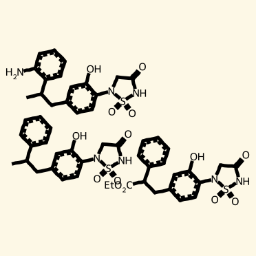 CC(Cc1ccc(N2CC(=O)NS2(=O)=O)c(O)c1)c1ccccc1.CC(Cc1ccc(N2CC(=O)NS2(=O)=O)c(O)c1)c1ccccc1N.CCOC(=O)C(Cc1ccc(N2CC(=O)NS2(=O)=O)c(O)c1)c1ccccc1